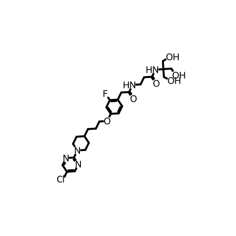 O=C(Cc1ccc(OCCCC2CCN(c3ncc(Cl)cn3)CC2)cc1F)NCCC(=O)NC(CO)(CO)CO